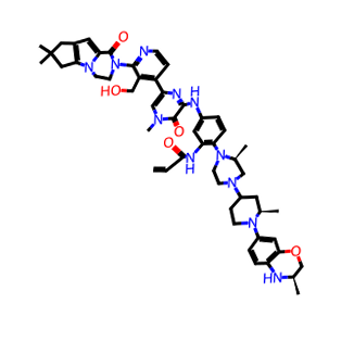 C=CC(=O)Nc1cc(Nc2nc(-c3ccnc(N4CCn5c(cc6c5CC(C)(C)C6)C4=O)c3CO)cn(C)c2=O)ccc1N1CCN(C2CCN(c3ccc4c(c3)OC[C@@H](C)N4)[C@H](C)C2)C[C@@H]1C